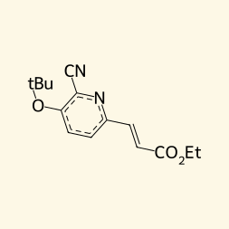 CCOC(=O)C=Cc1ccc(OC(C)(C)C)c(C#N)n1